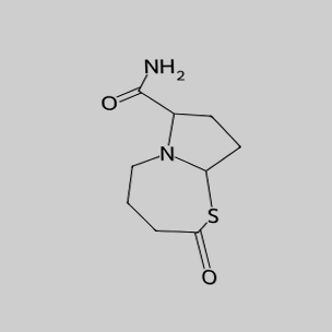 NC(=O)C1CCC2SC(=O)CCCN21